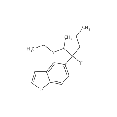 CCCC(F)(c1ccc2occc2c1)C(C)NCC